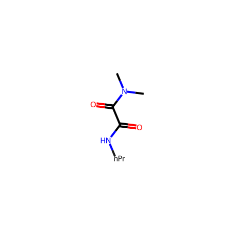 CCCNC(=O)C(=O)N(C)C